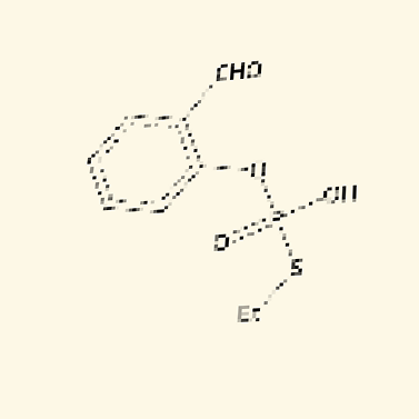 CCSP(=O)(O)Oc1ccccc1C=O